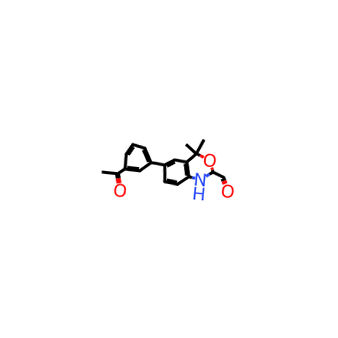 CC(=O)c1cccc(-c2ccc3c(c2)C(C)(C)OC(C=O)N3)c1